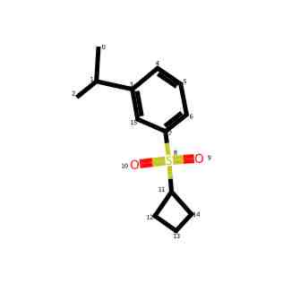 CC(C)c1cccc(S(=O)(=O)C2CCC2)c1